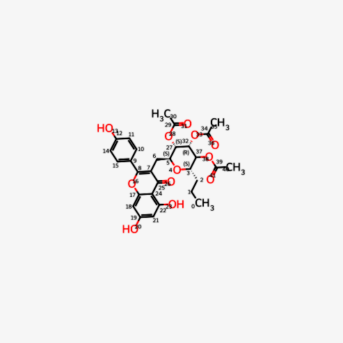 CCC[C@@H]1O[C@@H](Cc2c(-c3ccc(O)cc3)oc3cc(O)cc(O)c3c2=O)[C@H](OC(C)=O)[C@H](OC(C)=O)C1OC(C)=O